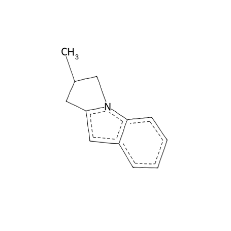 CC1Cc2cc3ccccc3n2C1